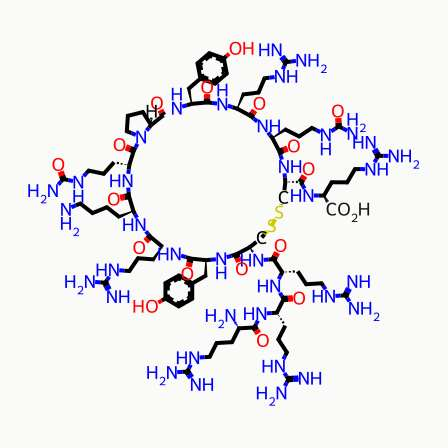 N=C(N)NCCC[C@H](NC(=O)[C@@H]1CSSC[C@H](NC(=O)[C@H](CCCNC(=N)N)NC(=O)[C@H](CCCNC(=N)N)NC(=O)[C@@H](N)CCCNC(=N)N)C(=O)N[C@@H](Cc2ccc(O)cc2)C(=O)N[C@@H](CCCNC(=N)N)C(=O)N[C@@H](CCCCN)C(=O)N[C@H](CCCNC(N)=O)C(=O)N2CCC[C@H]2C(=O)N[C@@H](Cc2ccc(O)cc2)C(=O)N[C@@H](CCCNC(=N)N)C(=O)N[C@@H](CCCNC(N)=O)C(=O)N1)C(=O)O